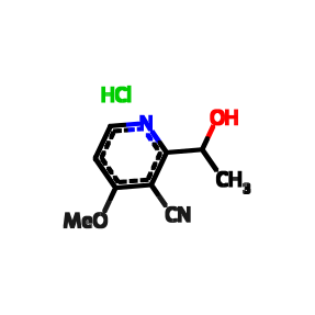 COc1ccnc(C(C)O)c1C#N.Cl